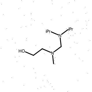 [CH2]N(CCO)CN(C(C)C)C(C)C